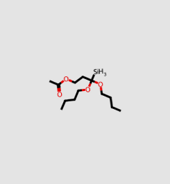 CCCCOC([SiH3])(CCOC(C)=O)OCCCC